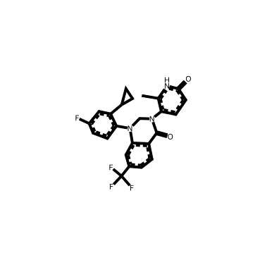 Cc1[nH]c(=O)ccc1N1CN(c2ccc(F)cc2C2CC2)c2cc(C(F)(F)F)ccc2C1=O